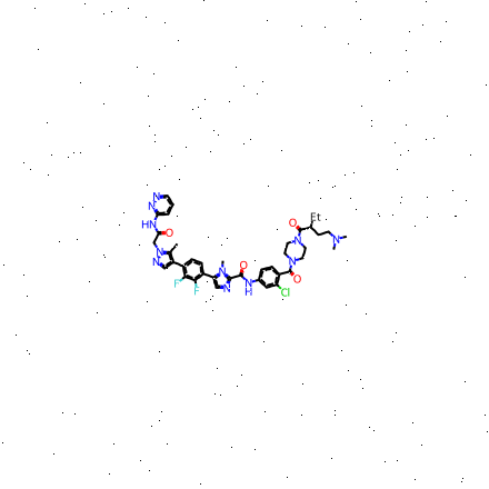 CCC(CCN(C)C)C(=O)N1CCN(C(=O)c2ccc(NC(=O)c3ncc(-c4ccc(-c5cnn(CC(=O)Nc6cccnn6)c5C)c(F)c4F)n3C)cc2Cl)CC1